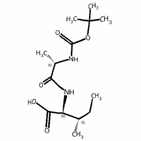 CC[C@H](C)[C@H](NC(=O)[C@H](C)NC(=O)OC(C)(C)C)C(=O)O